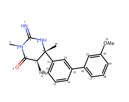 CCCC[C@H]1C(=O)N(C)C(=N)N[C@]1(C)c1cccc(-c2cccc(OC)c2)c1